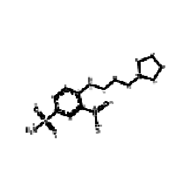 NS(=O)(=O)c1ccc(NCCCN2CCCC2)c([N+](=O)[O-])c1